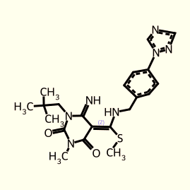 CS/C(NCc1ccc(-n2cncn2)cc1)=C1/C(=N)N(CC(C)(C)C)C(=O)N(C)C1=O